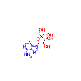 Nc1ncnc2c1ncn2[C@H]1OC(CO)(CO)[C@@H](O)[C@H]1O